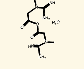 CN(CC(=O)OC(=O)CN(C)C(=N)N)C(=N)N.O